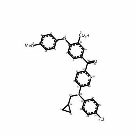 COc1ccc(Oc2ccc(C(=O)c3ccc(N(CC4CC4)c4ccc(Cl)cc4)cn3)cc2C(=O)O)cc1